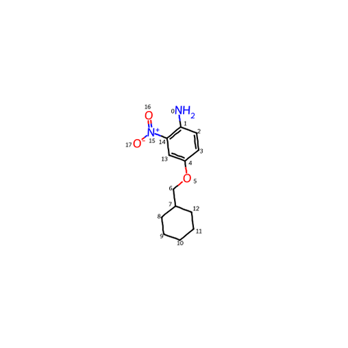 Nc1ccc(OCC2CCCCC2)cc1[N+](=O)[O-]